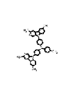 CC1=CC2c3cc(C)ncc3N(c3ccc(N(c4ccc(C)cc4)c4ccc(-n5c6ccc(C)cc6c6cc(C)ncc65)cc4)cc3)C2C=C1